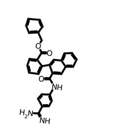 N=C(N)c1ccc(NC(=O)c2cc3ccccc3cc2-c2ccccc2C(=O)OCc2ccccc2)cc1